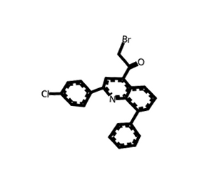 O=C(CBr)c1cc(-c2ccc(Cl)cc2)nc2c(-c3ccccc3)cccc12